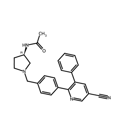 CC(=O)N[C@@H]1CCN(Cc2ccc(-c3ncc(C#N)cc3-c3ccccc3)cc2)C1